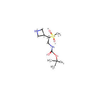 CC(C)(C)OC(=O)NC[C@@H](C1CNC1)S(C)(=O)=O